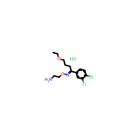 CCOCCCC(=NOCCN)c1ccc(Cl)c(Cl)c1.Cl